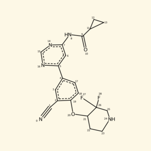 N#Cc1cc(-c2cc(NC(=O)C3CC3)ncn2)ccc1OC1CCNCC1(F)F